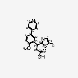 COc1ccc(-c2ccncc2)cc1C(CC(=O)O)c1ncc(C)s1